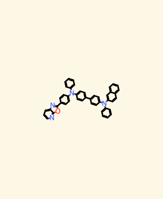 c1ccc(N(c2ccc(-c3ccc(N(c4ccccc4)c4ccc5ccccc5c4)cc3)cc2)c2ccc(-c3nc4cccnc4o3)cc2)cc1